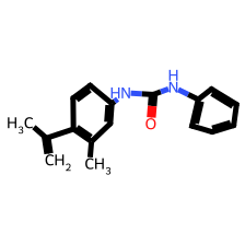 C=C(C)c1ccc(NC(=O)Nc2ccccc2)cc1C